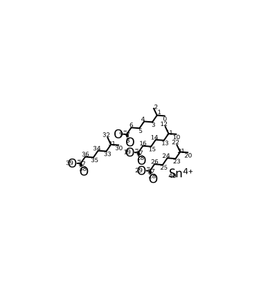 CC(C)CCCCC(=O)[O-].CC(C)CCCCC(=O)[O-].CC(C)CCCCC(=O)[O-].CC(C)CCCCC(=O)[O-].[Sn+4]